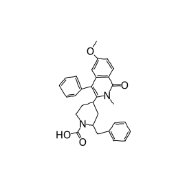 COc1ccc2c(=O)n(C)c(C3CCN(C(=O)O)C(Cc4ccccc4)C3)c(-c3ccccc3)c2c1